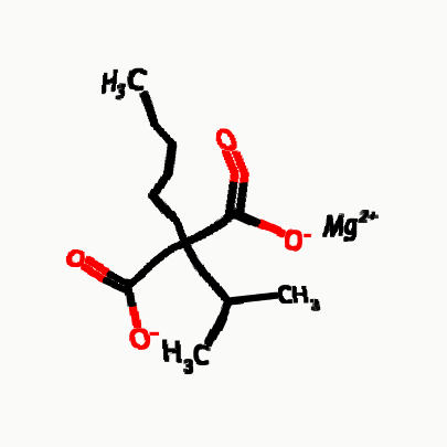 CCCC(C(=O)[O-])(C(=O)[O-])C(C)C.[Mg+2]